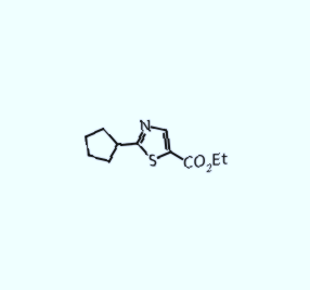 CCOC(=O)c1cnc(C2CCCC2)s1